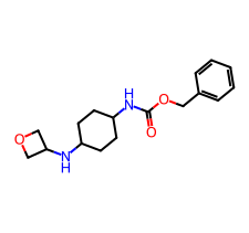 O=C(NC1CCC(NC2COC2)CC1)OCc1ccccc1